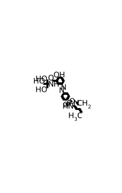 C=N/C(=C\C=C/C)NS(=O)(=O)c1ccc(/N=N/c2ccc(O)c(C(=O)NC(CO)(CO)CO)c2)cc1